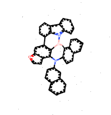 c1ccc2cc(N3c4ccc5ccccc5c4B4c5c(cc6occc6c53)-c3cccc5c6ccccc6n4c35)ccc2c1